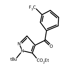 CCOC(=O)c1c(C(=O)c2cccc(C(F)(F)F)c2)cnn1C(C)(C)C